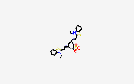 CCN1/C(=C/C=C2C=C(/C=C/c3sc4ccccc4[n+]3CC)CC(C)(S(=O)(=O)O)C/2)Sc2ccccc21